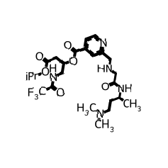 CC(CCN(C)C)NC(=O)CNCc1cc(C(=O)OC(CNC(=O)C(F)(F)F)CC(=O)OC(C)C)ccn1